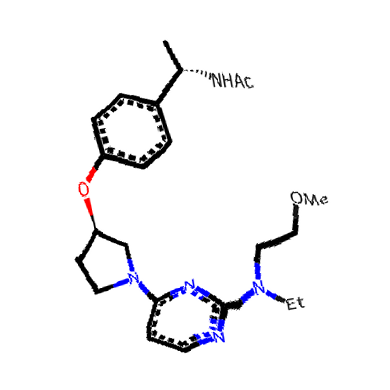 CCN(CCOC)c1nccc(N2CC[C@@H](Oc3ccc([C@H](C)NC(C)=O)cc3)C2)n1